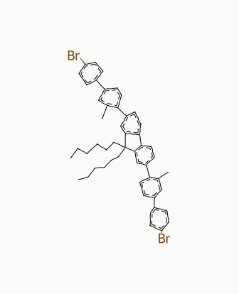 CCCCCCC1(CCCCCC)c2cc(-c3ccc(-c4ccc(Br)cc4)cc3C)ccc2-c2ccc(-c3ccc(-c4ccc(Br)cc4)cc3C)cc21